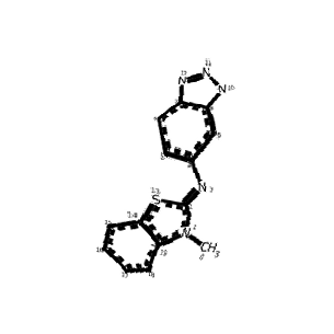 Cn1/c(=N/c2ccc3c(c2)[N]N=N3)sc2ccccc21